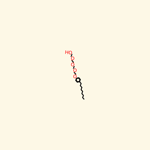 CCCCCCCCCc1ccc(OCCOCCOCCOCCO)cc1